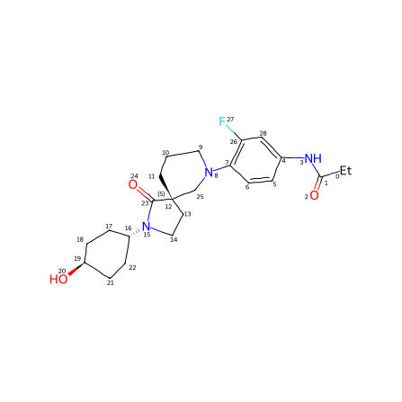 CCC(=O)Nc1ccc(N2CCC[C@]3(CCN([C@H]4CC[C@H](O)CC4)C3=O)C2)c(F)c1